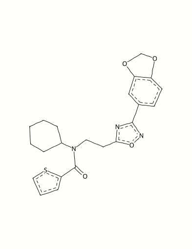 O=C(c1cccs1)N(CCc1nc(-c2ccc3c(c2)OCO3)no1)C1CCCCC1